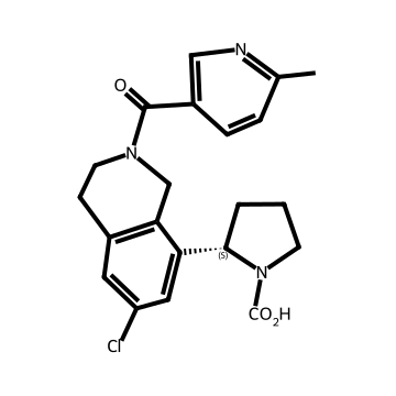 Cc1ccc(C(=O)N2CCc3cc(Cl)cc([C@@H]4CCCN4C(=O)O)c3C2)cn1